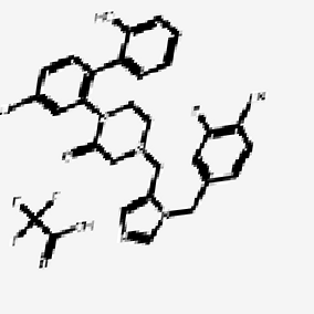 N#Cc1ccc(Cn2cncc2CN2CCN(c3cc(Cl)ccc3-c3ccccc3O)C(=O)C2)cc1F.O=C(O)C(F)(F)F